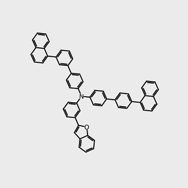 c1cc(-c2ccc(N(c3ccc(-c4ccc(-c5cccc6ccccc56)cc4)cc3)c3cccc(-c4cc5ccccc5o4)c3)cc2)cc(-c2cccc3ccccc23)c1